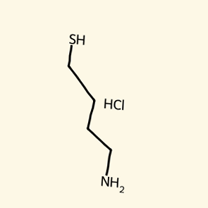 Cl.NCCCCS